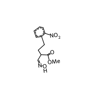 COC(=O)C(/C=N\O)CCc1ccccc1[N+](=O)[O-]